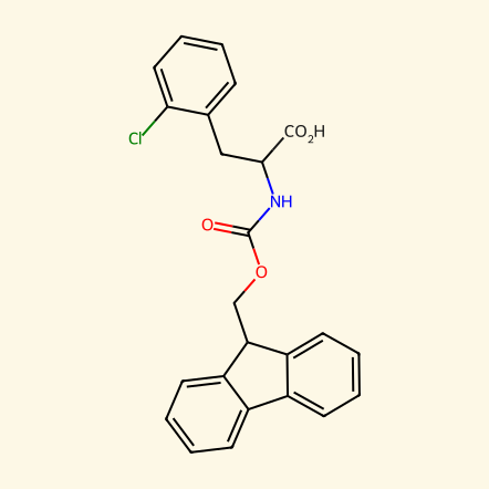 O=C(NC(Cc1ccccc1Cl)C(=O)O)OCC1c2ccccc2-c2ccccc21